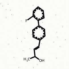 CC(O)C=Cc1ccc(-c2ccccc2F)cc1